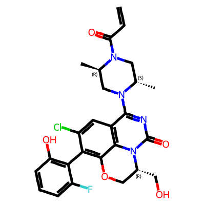 C=CC(=O)N1C[C@H](C)N(c2nc(=O)n3c4c(c(-c5c(O)cccc5F)c(Cl)cc24)OC[C@H]3CO)C[C@H]1C